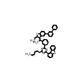 C/C=C\C=C/Cc1nc(C2=CC(/C(C)=c3/c(=C\C)oc4ccc(-c5cccc(-c6ccccc6)c5)cc34)=CC=CC2)nc(-c2cccc3sc4ccccc4c23)n1